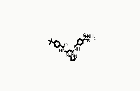 CC(C)(C)c1ccc(C(=O)Nc2cc(NCc3ccc(S(N)(=O)=O)cc3)n3nccc3n2)cc1